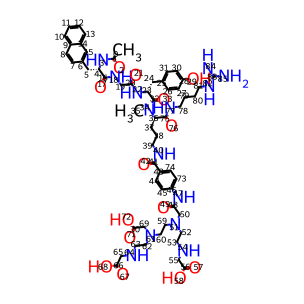 CC(=O)N[C@@H](Cc1ccc2ccccc2c1)C(=O)NCC(=O)N[C@H](Cc1ccc(O)cc1)C(=O)N(C)[C@H](CCCNC(=O)c1ccc(NC(=O)CN(CCNCC(=O)O)CCN(CCNCC(=O)O)CC(=O)O)cc1)C(=O)NCCCCNC(=N)N